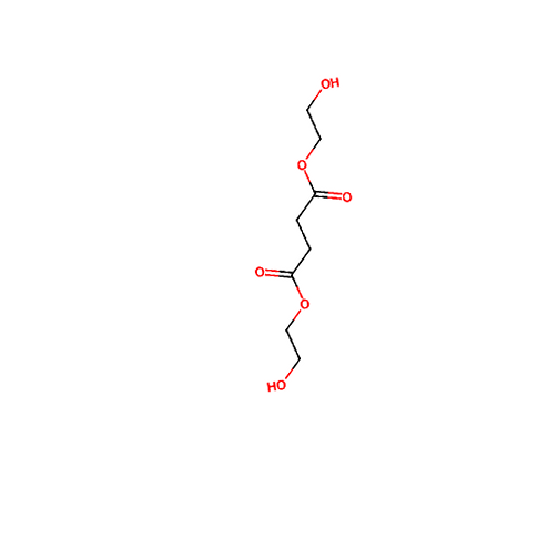 O=C(CCC(=O)OCCO)OCCO